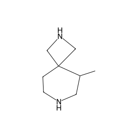 CC1CNCCC12CNC2